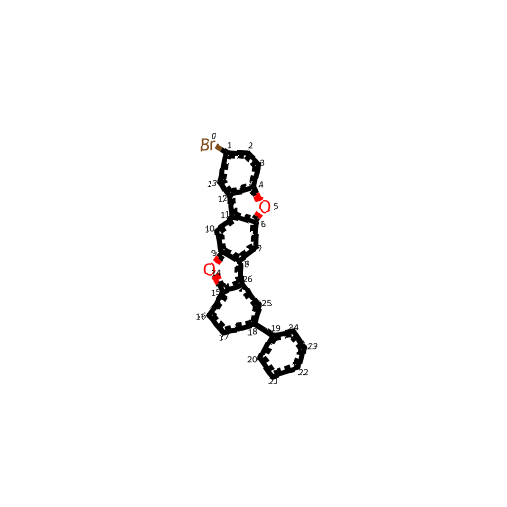 Brc1ccc2oc3cc4c(cc3c2c1)oc1ccc(-c2ccccc2)cc14